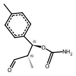 Cc1ccc([C@@H](OC(N)=O)[C@H](C)C=O)cc1